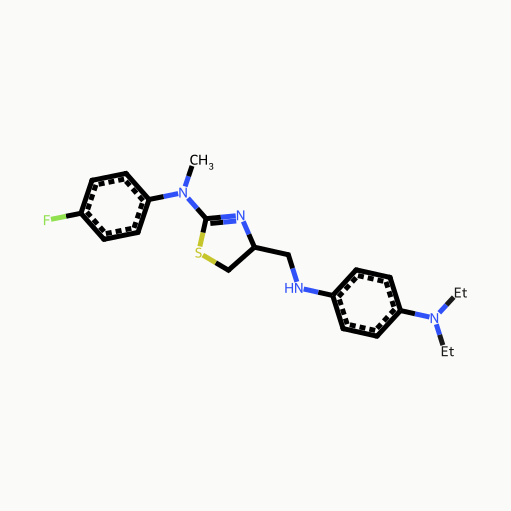 CCN(CC)c1ccc(NCC2CSC(N(C)c3ccc(F)cc3)=N2)cc1